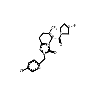 O=C([C@H]1[C@H](C(F)(F)F)CCc2nn(Cc3ccc(Cl)cn3)c(=O)n21)N1CC[C@H](F)C1